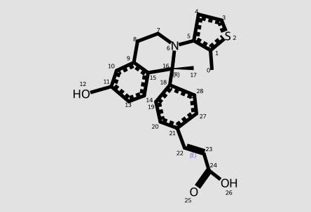 Cc1sccc1N1CCc2cc(O)ccc2[C@@]1(C)c1ccc(/C=C/C(=O)O)cc1